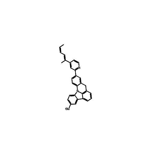 C/C=C\C=C(/C)c1ccnc(-c2ccc3c(c2)Cc2cccc4c5cc(C(C)(C)C)ccc5n-3c24)c1